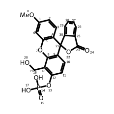 COc1ccc2c(c1)Oc1c(ccc(OP(=O)(O)O)c1CO)C21OC(=O)c2ccccc21